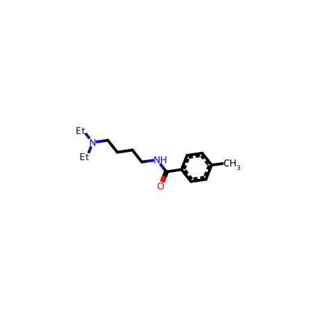 CCN(CC)CCCCNC(=O)c1ccc(C)cc1